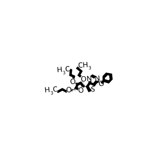 CCCCOC[C@H]1O[C@@H](c2csc3c(Oc4ccccc4)ncnc23)[C@H](OCCCC)[C@@H]1OCCCC